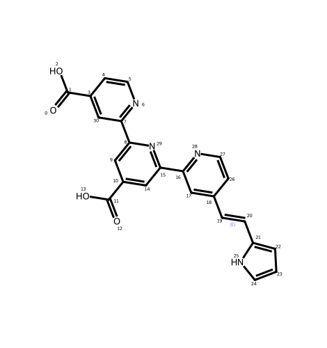 O=C(O)c1ccnc(-c2cc(C(=O)O)cc(-c3cc(/C=C/c4ccc[nH]4)ccn3)n2)c1